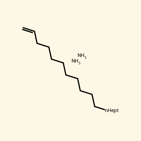 C=CCCCCCCCCCCCCCCCC.N.N